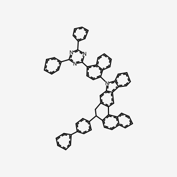 c1ccc(-c2ccc(C3Cc4cc5c(cc4-c4c3ccc3ccccc43)c3ccccc3n5-c3ccc(-c4nc(-c5ccccc5)nc(-c5ccccc5)n4)c4ccccc34)cc2)cc1